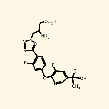 CC(C)(O)c1cnc(Oc2ccc(-c3nnn(CC(N)CC(=O)O)n3)c(F)c2)c(F)c1